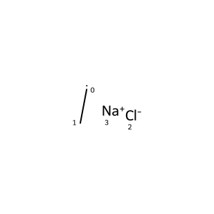 [CH2]C.[Cl-].[Na+]